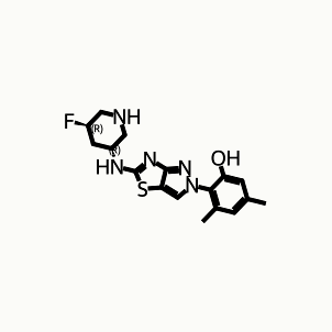 Cc1cc(C)c(-n2cc3sc(N[C@H]4CNC[C@H](F)C4)nc3n2)c(O)c1